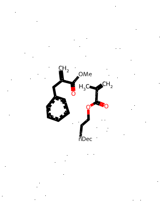 C=C(C)C(=O)OCCCCCCCCCCCC.C=C(Cc1ccccc1)C(=O)OC